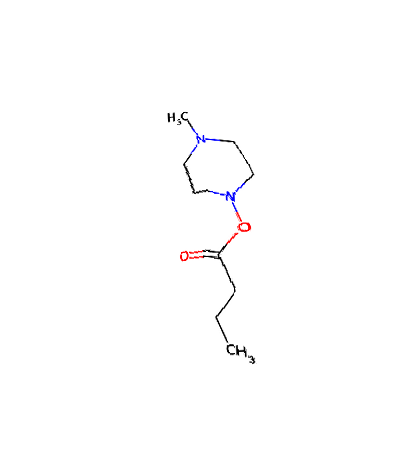 CCCC(=O)ON1CCN(C)CC1